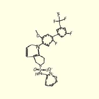 COc1cc(-c2cc(F)cc(C(F)(F)F)c2)c(F)cc1N1CC=CC2=C1CCN(S(=O)(=O)Nc1cccn[n+]1[O-])C2